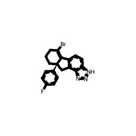 Fc1ccc([C@@]23CCCC(Br)=C2c2ccc4[nH]nnc4c2C3)cc1